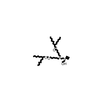 CCCCCCC(CCCCCC)COCOCCCCCCN(CCCCCC(=O)OCC(CCCCCC)CCCCCC)CCN(CCO)C1CCC1